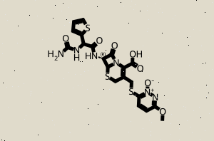 COc1ccc(SCC2=C(C(=O)O)N3C(=O)[C@@H](NC(=O)C(NC(N)=O)c4cccs4)C3SC2)[n+]([O-])n1